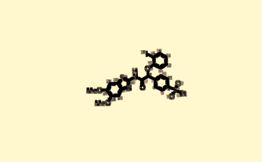 CCS(=O)(=O)c1ccc(C(Oc2ccccc2I)C(=O)Nc2nc3cc(OC)c(OC)cc3s2)cc1